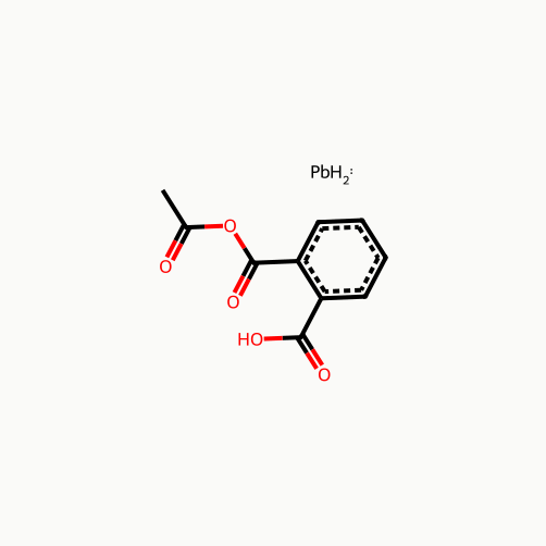 CC(=O)OC(=O)c1ccccc1C(=O)O.[PbH2]